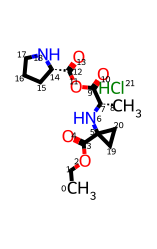 CCOC(=O)C1(N[C@@H](C)C(=O)OC(=O)[C@@H]2CCCN2)CC1.Cl